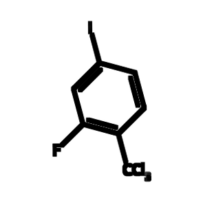 Fc1cc(I)ccc1C(Cl)(Cl)Cl